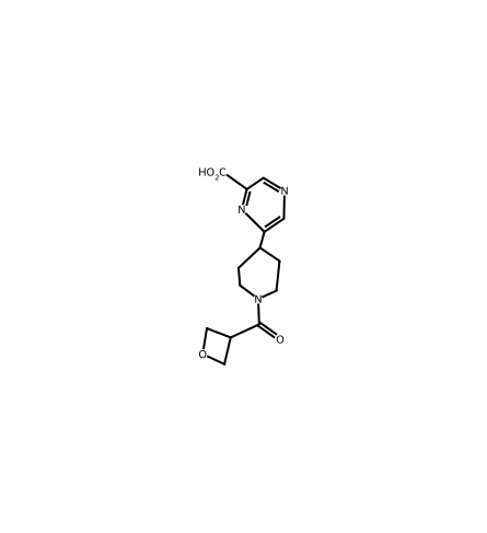 O=C(O)c1cncc(C2CCN(C(=O)C3COC3)CC2)n1